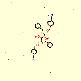 N#Cc1ccc(COC[C@@H](OCc2ccccc2)[C@@H](O)[C@H](O)[C@@H](COCc2ccc(C#N)cc2)OCc2ccccc2)cc1